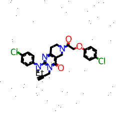 C#CCn1c(N(CC)c2ccc(Cl)cc2)nc2c(c1=O)CN(C(=O)COc1ccc(Cl)cc1)CC2